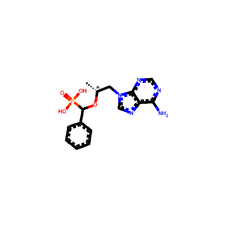 C[C@H](Cn1cnc2c(N)ncnc21)OC(c1ccccc1)P(=O)(O)O